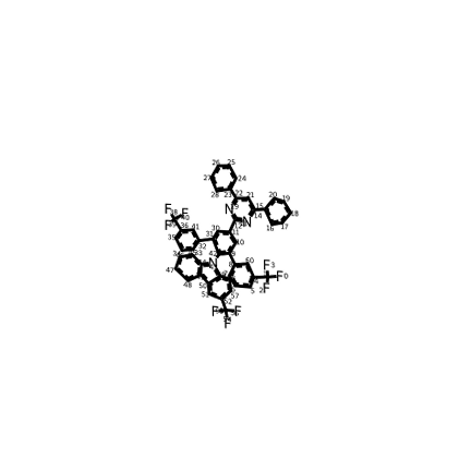 FC(F)(F)c1cccc(-c2cc(-c3nc(-c4ccccc4)cc(-c4ccccc4)n3)cc(-c3cccc(C(F)(F)F)c3)c2-n2c3ccccc3c3cc(C(F)(F)F)ccc32)c1